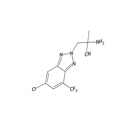 CC(N)(C#N)Cn1nc2cc(Cl)cc(C(F)(F)F)c2n1